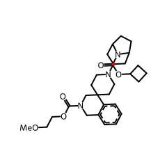 COCCOC(=O)N1Cc2ccccc2C2(CCN(C3CC4CCC(C3)N4C(=O)OC3CCC3)CC2)C1